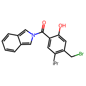 CC(C)c1cc(C(=O)n2cc3ccccc3c2)c(O)cc1CBr